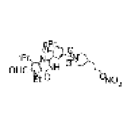 CCCOc1ccc(S(=O)(=O)N2CCC(CCCO[N+](=O)[O-])CC2)cc1-c1nc2c(CCC)c(C=O)n(CC)c2c(=O)[nH]1